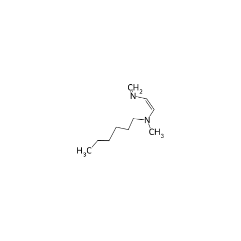 C=N/C=C\N(C)CCCCCC